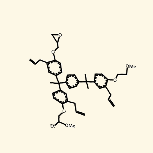 C=CCc1cc(C(C)(C)c2ccc(C(C)(c3ccc(OCC(CC)OC)c(CC=C)c3)c3ccc(OCC4CO4)c(CC=C)c3)cc2)ccc1OCCOC